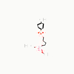 CCOP(=O)(OCC)C1CCC(COS(=O)(=O)c2ccc(C)cc2)O1